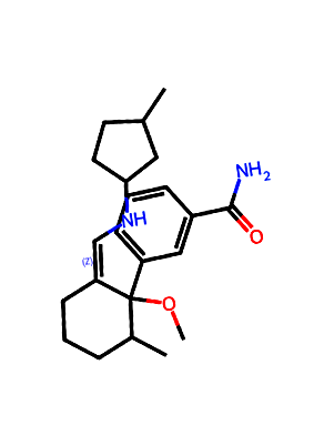 COC1(c2cccc(C(N)=O)c2)/C(=C\NC2CCC(C)C2)CCCC1C